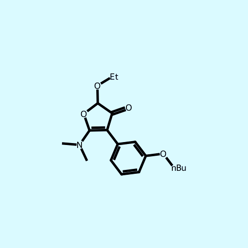 CCCCOc1cccc(C2=C(N(C)C)OC(OCC)C2=O)c1